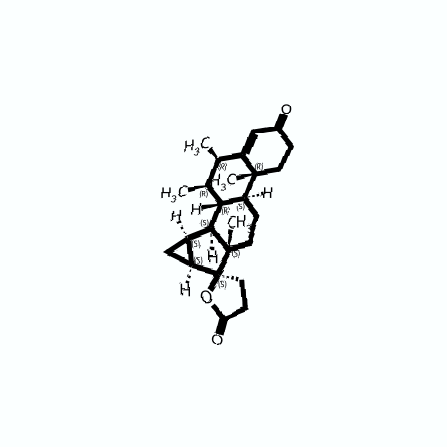 C[C@@H]1[C@H]2[C@@H]3[C@@H]4C[C@@H]4[C@@]4(CCC(=O)O4)[C@@]3(C)CC[C@@H]2[C@@]2(C)CCC(=O)C=C2[C@@H]1C